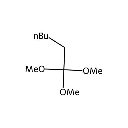 CCCCCC(OC)(OC)OC